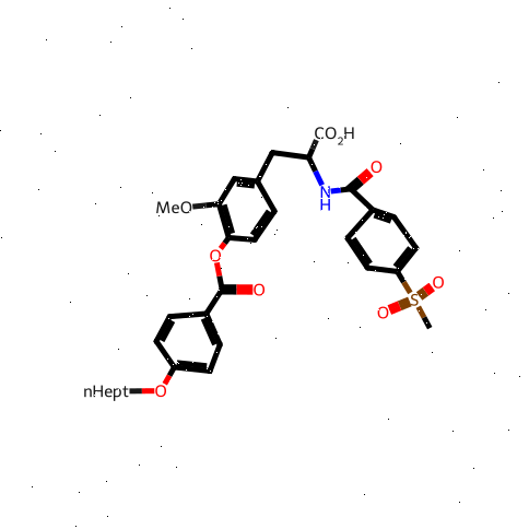 CCCCCCCOc1ccc(C(=O)Oc2ccc(CC(NC(=O)c3ccc(S(C)(=O)=O)cc3)C(=O)O)cc2OC)cc1